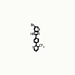 FC(F)(F)C1C=CC=NC1c1ccc(-c2nc3ncc(Br)cc3[nH]2)cc1